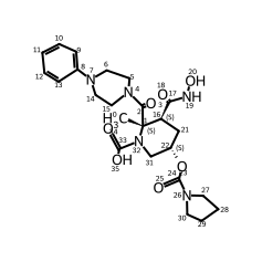 C[C@@]1(C(=O)N2CCN(c3ccccc3)CC2)[C@@H](C(=O)NO)C[C@H](OC(=O)N2CCCC2)CN1C(=O)O